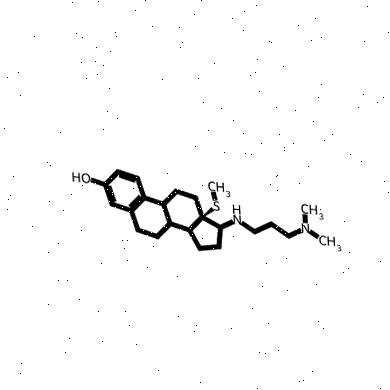 CS[C@]12CCC3c4ccc(O)cc4CCC3C1CCC2NCCCN(C)C